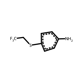 Nc1ccc(SCC(F)(F)F)cc1